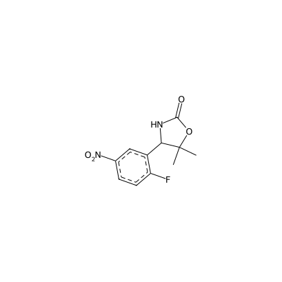 CC1(C)OC(=O)NC1c1cc([N+](=O)[O-])ccc1F